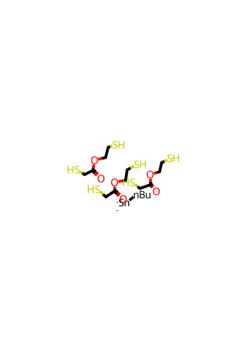 CCC[CH2][Sn].O=C(CS)OCCS.O=C(CS)OCCS.O=C(CS)OCCS